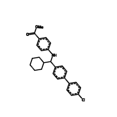 COC(=O)c1ccc(NC(c2ccc(-c3ccc(Cl)cc3)cc2)C2CCCCC2)cc1